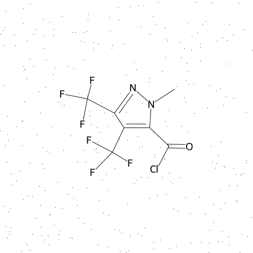 Cn1nc(C(F)(F)F)c(C(F)(F)F)c1C(=O)Cl